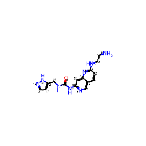 NCCNc1ccc2cnc(NC(=O)NCc3ccn[nH]3)cc2n1